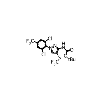 CC(C)(C)OC(=O)Nc1nn(-c2c(Cl)cc(C(F)(F)F)cc2Cl)cc1SC(F)(F)F